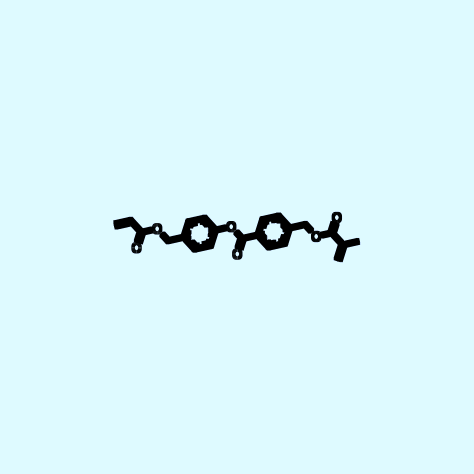 C=CC(=O)OCc1ccc(OC(=O)c2ccc(COC(=O)C(=C)C)cc2)cc1